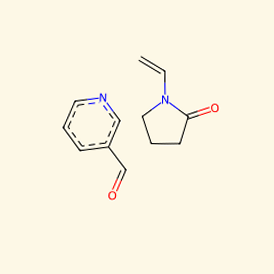 C=CN1CCCC1=O.O=Cc1cccnc1